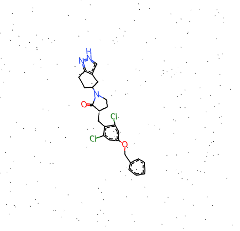 O=C1[C@H](Cc2c(Cl)cc(OCc3ccccc3)cc2Cl)CCN1C1CCc2n[nH]cc2C1